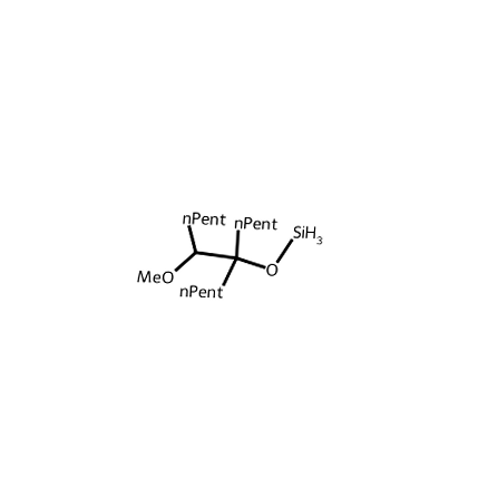 CCCCCC(OC)C(CCCCC)(CCCCC)O[SiH3]